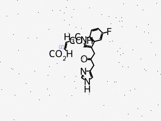 Cn1cc(CC(=O)Cc2c[nH]cn2)c2cc(F)ccc21.O=C(O)/C=C\C(=O)O